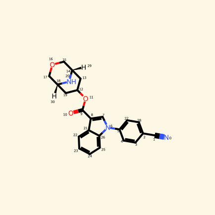 N#Cc1ccc(-n2cc(C(=O)OC3C[C@H]4COC[C@@H](C3)N4)c3ccccc32)cc1